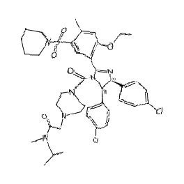 CCOc1cc(C)c(S(=O)(=O)N2CCCCC2)cc1C1=N[C@@H](c2ccc(Cl)cc2)[C@@H](c2ccc(Cl)cc2)N1C(=O)N1CCN(CC(=O)N(C)C(C)C)CC1